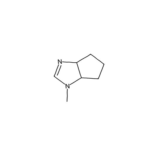 CN1C=NC2CCCC21